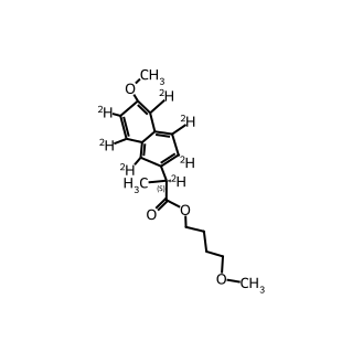 [2H]c1c([C@]([2H])(C)C(=O)OCCCCOC)c([2H])c2c([2H])c([2H])c(OC)c([2H])c2c1[2H]